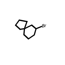 BrC1CCCC2(CCCC2)C1